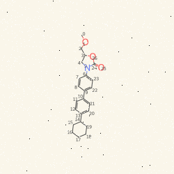 COCC1CN(c2ccc(-c3ccc(C4CCCCC4)cc3)cc2)C(=O)O1